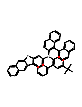 CC(C)(C)c1ccc(N(c2ccc3c(c2)oc2cc4ccccc4cc23)c2ccc3ccccc3c2-c2cccc3ccccc23)c(-c2ccccc2)c1